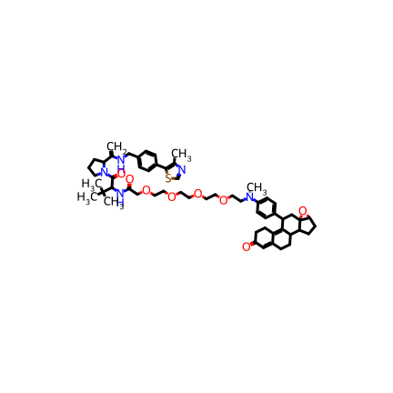 C=C(NCc1ccc(-c2scnc2C)cc1)C1CCCN1C(=O)C(NC(=O)COCCOCCOCCOCCN(C)c1ccc(C2CC34OC3CCC4C3CCC4=CC(=O)CCC4=C23)cc1)C(C)(C)C